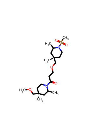 COC[C@@]1(C)CCN(C(=O)CCOC[C@@]2(C)CCN(S(C)(=O)=O)C(C)C2)C(C)C1